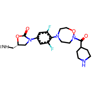 CC(=O)NC[C@H]1CN(c2cc(F)c(N3CCON(C(=O)C4CCNCC4)CC3)c(F)c2)C(=O)O1